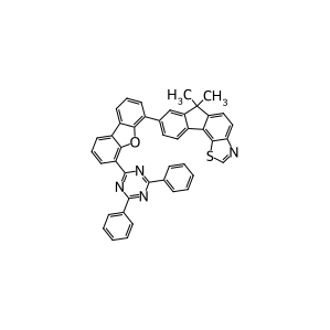 CC1(C)c2cc(-c3cccc4c3oc3c(-c5nc(-c6ccccc6)nc(-c6ccccc6)n5)cccc34)ccc2-c2c1ccc1ncsc21